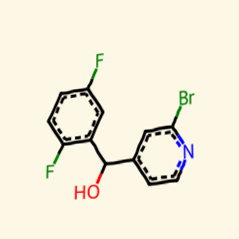 OC(c1ccnc(Br)c1)c1cc(F)ccc1F